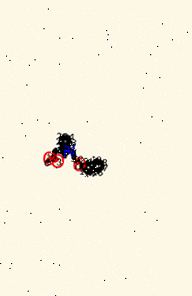 COC(=O)Cc1cn(CCCOc2ccc3ccccc3c2)c2ccccc12